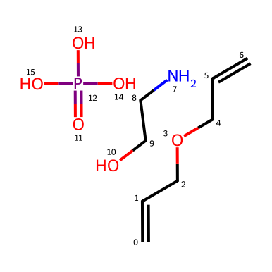 C=CCOCC=C.NCCO.O=P(O)(O)O